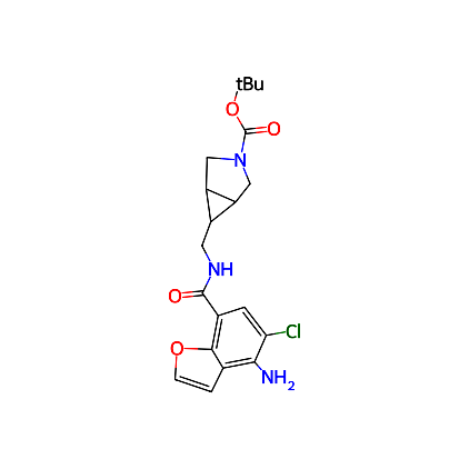 CC(C)(C)OC(=O)N1CC2C(CNC(=O)c3cc(Cl)c(N)c4ccoc34)C2C1